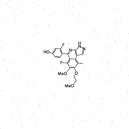 COCCOc1c(OC)c(F)c2c(-c3ccc(O)cc3F)nc3[nH]ncc3c2c1C